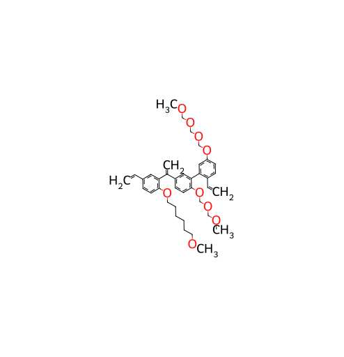 C=Cc1ccc(OCCCCCCOC)c(C(=C)c2ccc(OCOCOC)c(-c3cc(OCOCOCOC)ccc3C=C)c2)c1